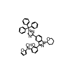 O=CN(c1cccc(-c2nn(C3CCCCO3)c3ccc(-c4ncn(C(c5ccccc5)(c5ccccc5)c5ccccc5)n4)cc23)c1)c1ccco1